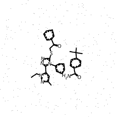 CC(C)(C)c1ccc(C(N)=O)cc1.CCn1nc(C)cc1-c1nnc(SCC(=O)c2ccccc2)n1-c1ccccc1